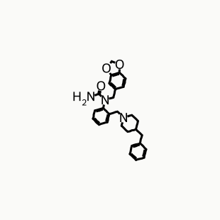 NC(=O)N(Cc1ccc2c(c1)OCO2)c1ccccc1CN1CCC(Cc2ccccc2)CC1